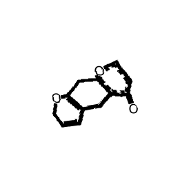 O=c1ccoc2c1CC1=C(C2)OCC=C1